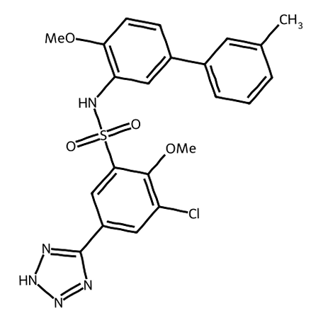 COc1ccc(-c2cccc(C)c2)cc1NS(=O)(=O)c1cc(-c2nn[nH]n2)cc(Cl)c1OC